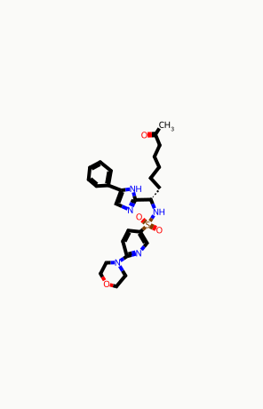 CC(=O)CCCCC[C@H](NS(=O)(=O)c1ccc(N2CCOCC2)nc1)c1ncc(-c2ccccc2)[nH]1